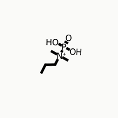 CCC[N+](C)(C)P(=O)(O)O